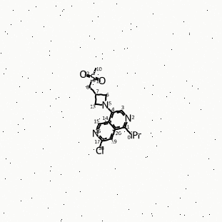 CC(C)c1ncc(N2CC(CS(C)(=O)=O)C2)c2cnc(Cl)cc12